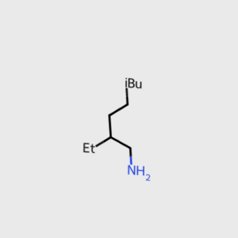 CCC(C)CCC(CC)CN